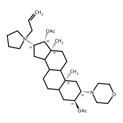 C=CC[N+]1([C@H]2CC3C4CCC5C[C@H](OC(C)=O)[C@@H](N6CCOCC6)C[C@]5(C)C4CC[C@]3(C)[C@H]2OC(C)=O)CCCC1